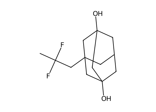 CC(F)(F)CC12CC3CC(O)(CC(O)(C3)C1)C2